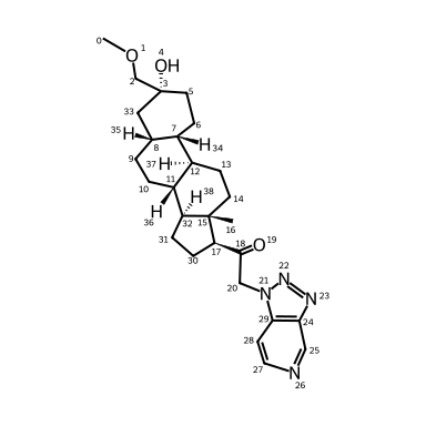 COC[C@@]1(O)CC[C@H]2[C@H](CC[C@@H]3[C@@H]2CC[C@]2(C)[C@@H](C(=O)Cn4nnc5cnccc54)CC[C@@H]32)C1